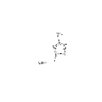 CC(=O)NCc1noc(N)n1